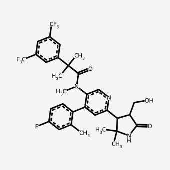 Cc1cc(F)ccc1-c1cc(C2C(CO)C(=O)NC2(C)C)ncc1N(C)C(=O)C(C)(C)c1cc(C(F)(F)F)cc(C(F)(F)F)c1